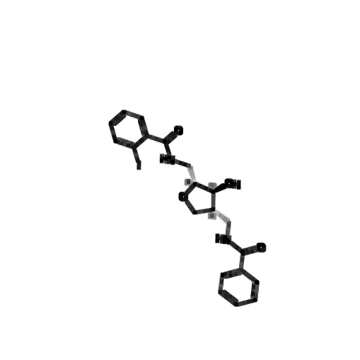 O=C(NC[C@@H]1CO[C@H](CNC(=O)c2ccccc2I)[C@H]1O)c1ccccc1